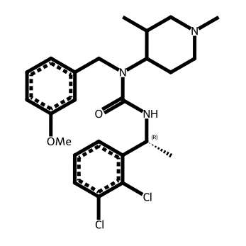 COc1cccc(CN(C(=O)N[C@H](C)c2cccc(Cl)c2Cl)C2CCN(C)CC2C)c1